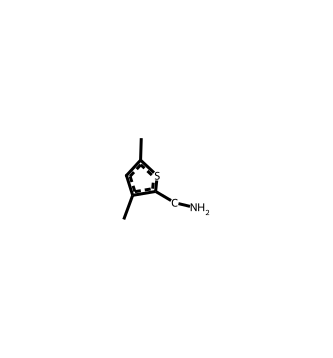 Cc1cc(C)c(CN)s1